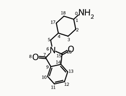 NC1CCC(CN2C(=O)c3ccccc3C2=O)CC1